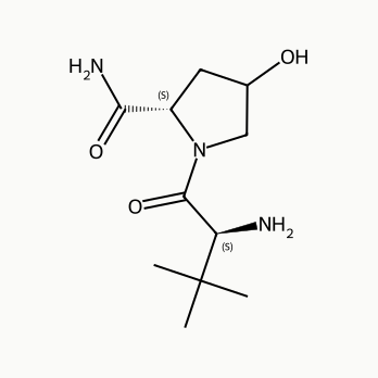 CC(C)(C)[C@H](N)C(=O)N1CC(O)C[C@H]1C(N)=O